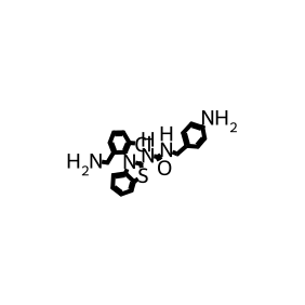 NCc1cccc(Cl)c1N1c2ccccc2SC1NC(=O)NCc1ccc(N)cc1